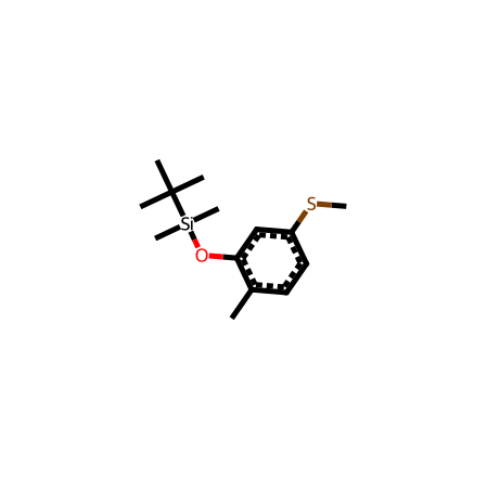 CSc1ccc(C)c(O[Si](C)(C)C(C)(C)C)c1